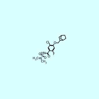 CN(C)S(=O)(=O)NC(=O)c1cc(Cl)c(OCC2CC3CCC2C3)cc1F